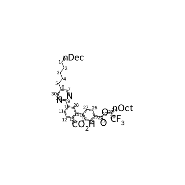 CCCCCCCCCCCCCCCc1cnc(-c2ccc(C(=O)O)c(-c3ccc(C(=O)OC(CCCCCCCC)C(F)(F)F)cc3)c2)nc1